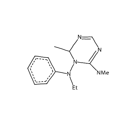 CCN(c1ccccc1)N1C(NC)=NC=NC1C